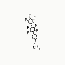 CCCc1ccc(-c2c(F)c(F)c(-c3cc(F)c(F)c(F)c3)c(F)c2F)cc1